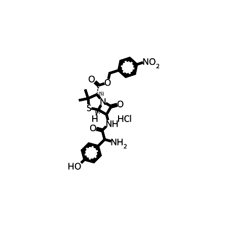 CC1(C)S[C@@H]2C(NC(=O)C(N)c3ccc(O)cc3)C(=O)N2[C@H]1C(=O)OCc1ccc([N+](=O)[O-])cc1.Cl